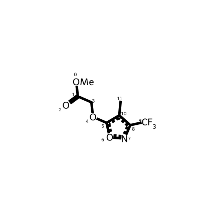 COC(=O)COc1onc(C(F)(F)F)c1C